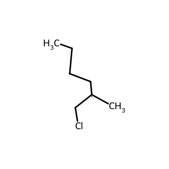 CCCC[C](C)CCl